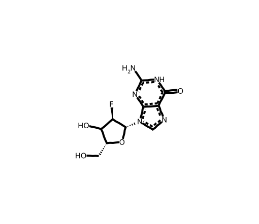 Nc1nc2c(ncn2[C@@H]2O[C@H](CO)C(O)[C@H]2F)c(=O)[nH]1